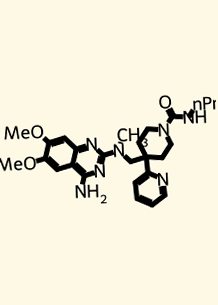 CCCNC(=O)N1CCC(CN(C)c2nc(N)c3cc(OC)c(OC)cc3n2)(c2ccccn2)CC1